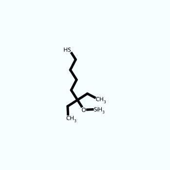 CCC(CC)(CCCCS)O[SiH3]